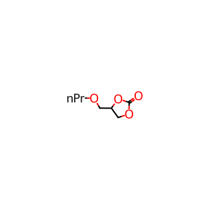 CCCOCC1COC(=O)O1